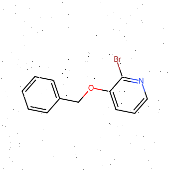 Brc1ncccc1OCc1ccccc1